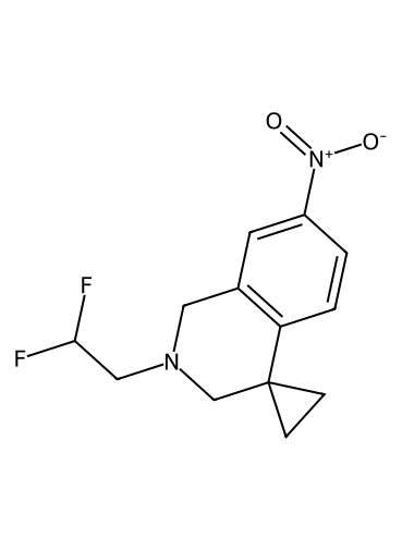 O=[N+]([O-])c1ccc2c(c1)CN(CC(F)F)CC21CC1